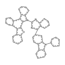 c1ccc(-n2c3ccccc3c3ccc(-c4nc(-n5c6ccccc6c6c7ccccc7c7c8ccccc8oc7c65)nc5ccccc45)cc32)cc1